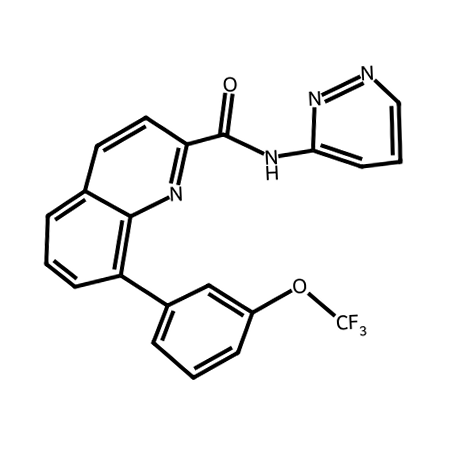 O=C(Nc1cccnn1)c1ccc2cccc(-c3cccc(OC(F)(F)F)c3)c2n1